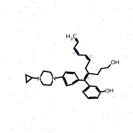 C=C/C=C\C=C/C/C(CCCO)=C(\c1ccc(N2CCN(C3CC3)CC2)cc1)c1cccc(O)c1